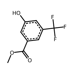 COC(=O)c1cc(O)cc(C(F)(F)F)c1